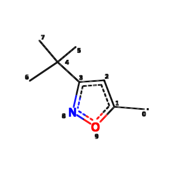 [CH2]c1cc(C(C)(C)C)no1